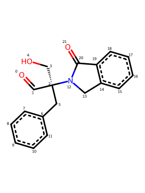 O=C[C@](CO)(Cc1ccccc1)N1Cc2ccccc2C1=O